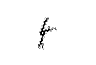 COC(=O)CCCOc1ccc(CCCCCCO)c(CCC(=O)OC)c1